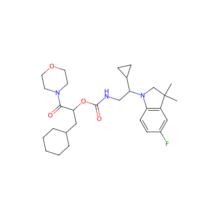 CC1(C)CN(C(CNC(=O)OC(CC2CCCCC2)C(=O)N2CCOCC2)C2CC2)c2ccc(F)cc21